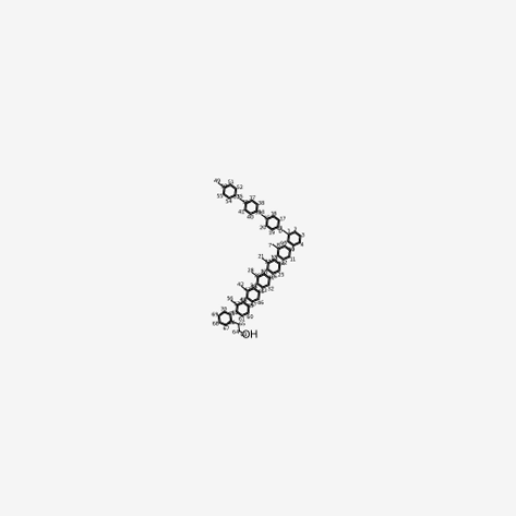 Cc1ccccc1.Cc1ccccc1.Cc1ccccc1.Cc1ccccc1.Cc1ccccc1.Cc1ccccc1.Cc1ccccc1.Cc1ccccc1.Cc1ccccc1.OCCc1ccccc1